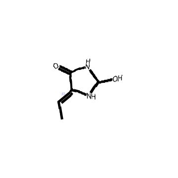 C/C=C1\NC(O)NC1=O